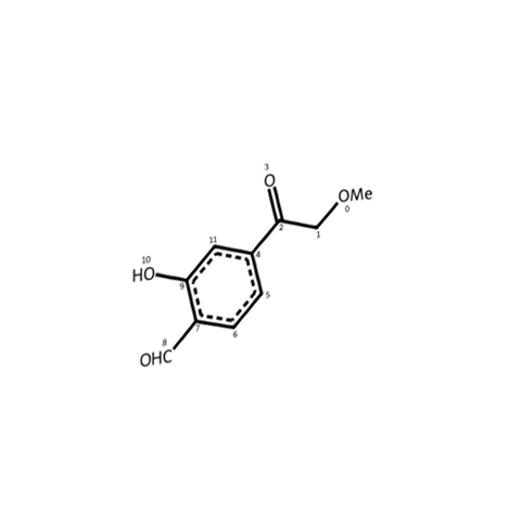 COCC(=O)c1ccc(C=O)c(O)c1